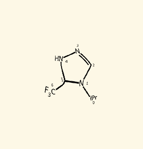 CC(C)N1C=NNC1C(F)(F)F